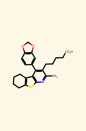 Cc1nc2sc3c(c2c(-c2ccc4c(c2)OCO4)c1CCCCC(=O)O)CCCC3